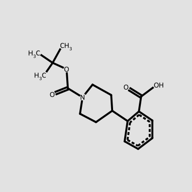 CC(C)(C)OC(=O)N1CCC(c2ccccc2C(=O)O)CC1